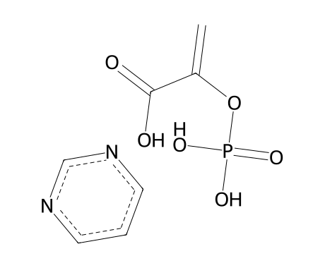 C=C(OP(=O)(O)O)C(=O)O.c1cncnc1